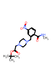 CNC(=O)c1ccc([N+](=O)[O-])cc1CN1CCN(CC(=O)OC(C)(C)C)CC1